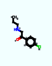 CCCNCC(=O)c1ccc(Cl)cc1